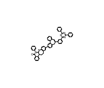 O=C1c2ccccc2C2CCc3cc(-c4ccc5c(c4)-c4ccccc4C=C(c4cccc(-c6nc(-c7ccccc7)nc(-c7ccccc7)n6)c4)C5)ccc3N=C2N1c1ccccc1